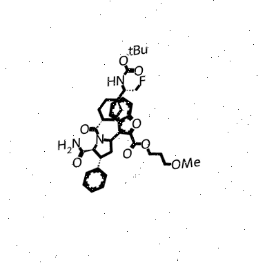 COCCCOC(=O)c1oc2ccccc2c1C1C[C@H](c2ccccc2)[C@@H](C(N)=O)N1C(=O)[C@H]1CC[C@H]([C@@H](CF)NC(=O)OC(C)(C)C)CC1